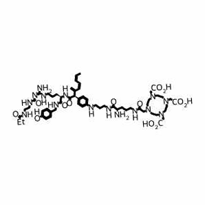 C=C(/C=C\C=C/C)[C@H](C(=O)N[C@H](CCCN/C(N)=N\C(=O)NCCNC(=O)CC)C(=O)NCc1ccc(O)cc1)c1ccc(NCCCNC(=O)[C@H](N)CCCNC(=O)CN2CCN(CC(=O)O)CCN(CC(=O)O)CCN(CC(=O)O)CC2)cc1